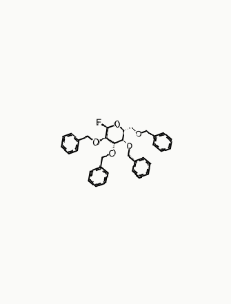 F[C@H]1O[C@H](COCc2ccccc2)[C@H](OCc2ccccc2)[C@H](OCc2ccccc2)[C@H]1OCc1ccccc1